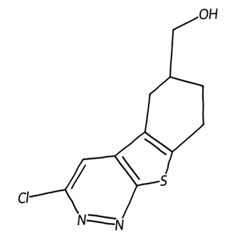 OCC1CCc2sc3nnc(Cl)cc3c2C1